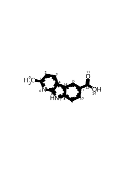 Cc1ccc2c(n1)[nH]c1ccc(C(=O)O)cc12